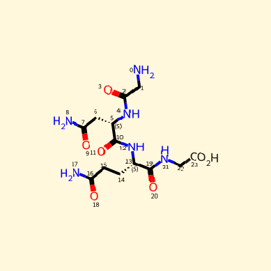 NCC(=O)N[C@@H](CC(N)=O)C(=O)N[C@@H](CCC(N)=O)C(=O)NCC(=O)O